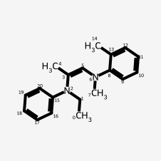 CCN(/C(C)=C\N(C)c1ccccc1C)c1ccccc1